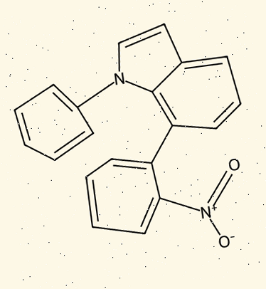 O=[N+]([O-])c1ccccc1-c1cccc2ccn(-c3ccccc3)c12